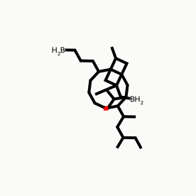 BCCCC1CCCCC(C(C)CC(C)CC)C2CC34CC(C)C13CC4(CB)C(C)C2C